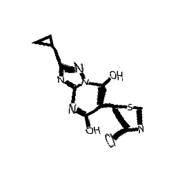 Oc1nc2nc(C3CC3)nn2c(O)c1-c1scnc1Cl